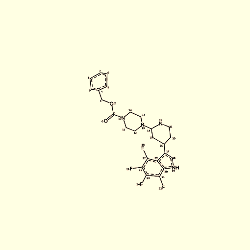 O=C(OCc1ccccc1)N1CCN(C2CC(c3c[nH]c4c(F)c(F)c(F)c(F)c34)CC[N]2)CC1